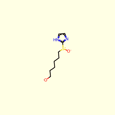 [O]CCCCCC[S+]([O-])c1ncc[nH]1